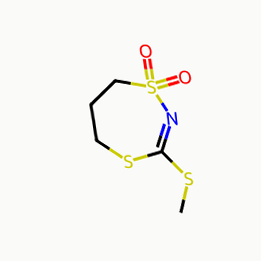 CSC1=NS(=O)(=O)CCCS1